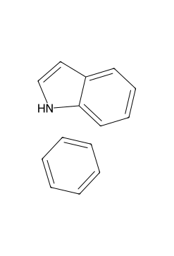 c1ccc2[nH]ccc2c1.c1ccccc1